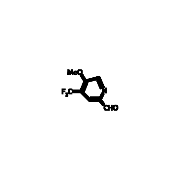 COc1cnc(C=O)cc1C(F)(F)F